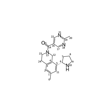 Cc1cc2c(c([C@@H]3CCCN3)c1)CN(C(=O)c1cnc(C)nc1)CC2